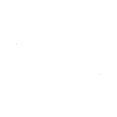 CCCC1CC=C(c2ccc(Br)cc2)CC1